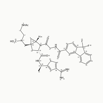 CC(=O)NCCN(C[C@@]12C[C@@H]1N(C(=O)CNC(=O)c1ccc3c(c1)-c1ccccc1C3(F)F)[C@H](C(=O)N[C@H](C)c1cc(C(=N)N)cs1)C2)C(=O)O